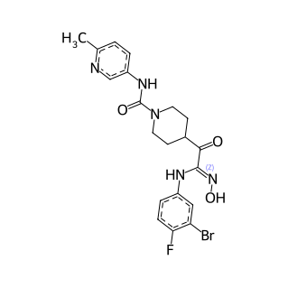 Cc1ccc(NC(=O)N2CCC(C(=O)/C(=N/O)Nc3ccc(F)c(Br)c3)CC2)cn1